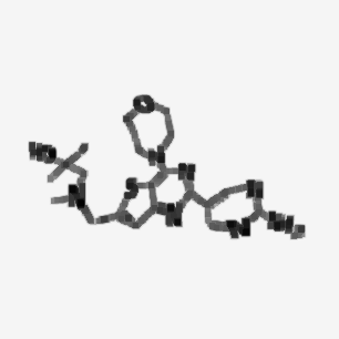 CN(Cc1cc2nc(-c3cnc(N)nc3)nc(N3CCOCC3)c2s1)CC(C)(C)O